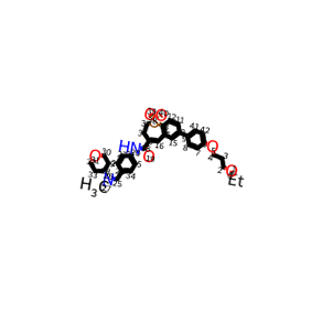 CCOCCCOc1ccc(-c2ccc3c(c2)C=C(C(=O)Nc2ccc(CN(C)C4CCOCC4)cc2)CCS3(=O)=O)cc1